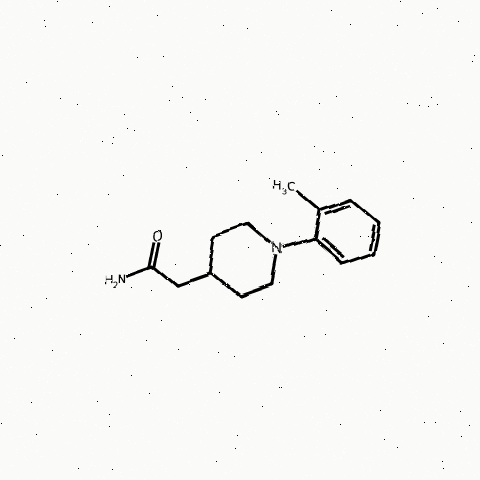 Cc1ccccc1N1CCC(CC(N)=O)CC1